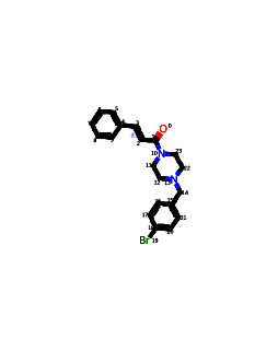 O=C(/C=C/c1ccccc1)N1CCN(Cc2ccc(Br)cc2)CC1